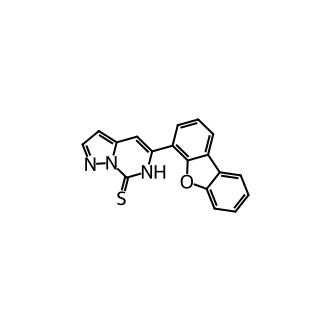 S=c1[nH]c(-c2cccc3c2oc2ccccc23)cc2ccnn12